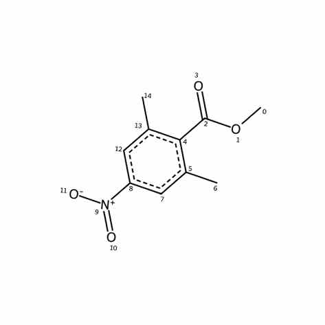 COC(=O)c1c(C)cc([N+](=O)[O-])cc1C